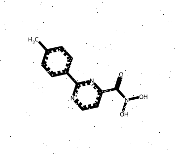 Cc1ccc(-c2nccc(C(=O)N(O)O)n2)cc1